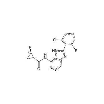 O=C(Nc1nccc2nc(-c3c(F)cccc3Cl)[nH]c12)C1C[C@H]1F